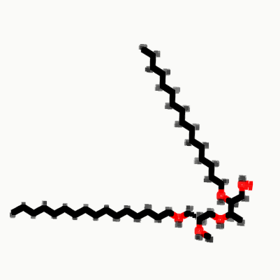 CCCCCCCCCCCCCCCCOC[C@H](COC(C)C(CO)OCCCCCCCCCCCCCCCC)OC